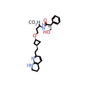 O=C(O)C(CCO[C@H]1C[C@H](CCc2ccc3c(n2)NCCC3)C1)NC(=O)[C@@H](CO)c1ccccc1